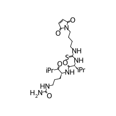 CC(C)C(=O)[C@H](CCCNC(N)=O)NC(=O)[C@@H](NC(=S)NCCCCN1C(=O)C=CC1=O)C(C)C